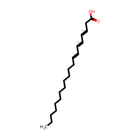 CCCCCCCCCCCC/C=C/C=C/C=C/CC(=O)O